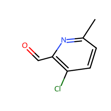 Cc1ccc(Cl)c(C=O)n1